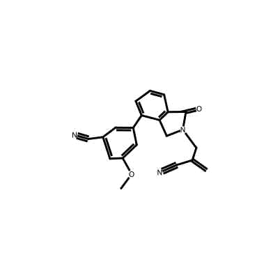 C=C(C#N)CN1Cc2c(cccc2-c2cc(C#N)cc(OC)c2)C1=O